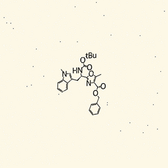 Cc1oc([C@@H](Cc2cn(C)c3ccccc23)NC(=O)OC(C)(C)C)nc1C(=O)OCc1ccccc1